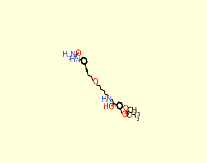 CC1(C)OCc2cc([C@@H](O)CNCCCCCCOCCCC#Cc3cccc(NC(N)=O)c3)ccc2O1